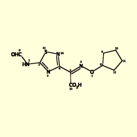 O=CNc1nc(C(=NOC2CCCC2)C(=O)O)ns1